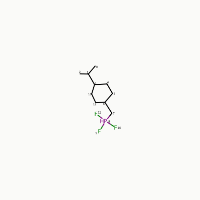 CC(C)C1CCC(C[PH](F)(F)F)CC1